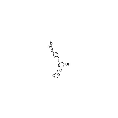 CCOC(=O)COc1ccc(CCc2nc(OCC3COCCO3)cc(O)c2C)cc1